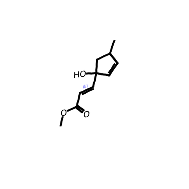 COC(=O)/C=C/C1(O)C=CC(C)C1